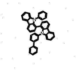 c1ccc(-c2cccc(-n3c4ccccc4c4cccc(-c5cccc6c7ccccc7n(-c7ccccc7)c56)c43)c2)cc1